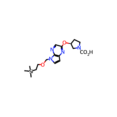 C[Si](C)(C)CCOCn1ccc2nc(O[C@H]3CCN(C(=O)O)C3)cnc21